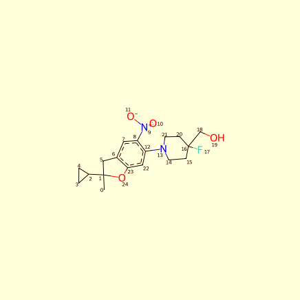 CC1(C2CC2)Cc2cc([N+](=O)[O-])c(N3CCC(F)(CO)CC3)cc2O1